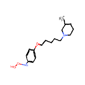 CC1CCCN(CCCCCOc2ccc(NOO)cc2)C1